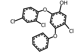 Oc1cc(Cl)c(Oc2ccccc2)cc1Oc1ccc(Cl)cc1Cl